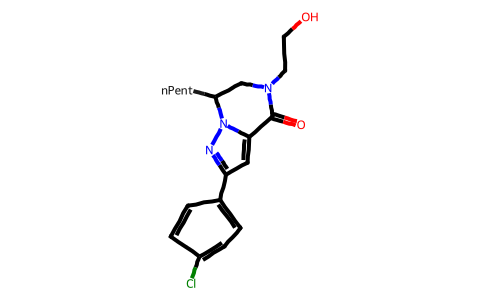 CCCCCC1CN(CCO)C(=O)c2cc(-c3ccc(Cl)cc3)nn21